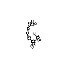 Cc1cc2c(N3CCN(C)c4ccc(C#N)cc43)cc(C3CCN(CC4CCN(c5ccc(NC6CCC(=O)NC6=O)c(F)c5)CC4)CC3)cc2n(C)c1=O